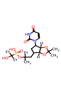 CCC(C)(CC1CC(n2ccc(=O)[nH]c2=O)[C@@H]2OC(C)(C)O[C@H]12)OP(=O)(O)C(O)(CC)CC